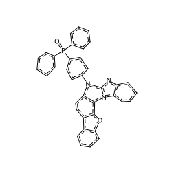 O=P(c1ccccc1)(c1ccccc1)c1ccc(-n2c3ccc4c5ccccc5oc4c3n3c4ccccc4nc23)cc1